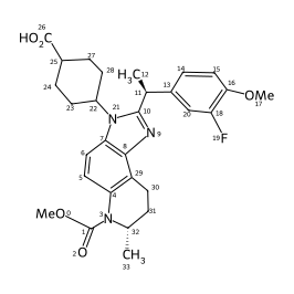 COC(=O)N1c2ccc3c(nc([C@@H](C)c4ccc(OC)c(F)c4)n3C3CCC(C(=O)O)CC3)c2CC[C@@H]1C